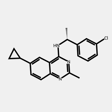 Cc1nc(N[C@H](C)c2cccc(Cl)c2)c2cc(C3CC3)ccc2n1